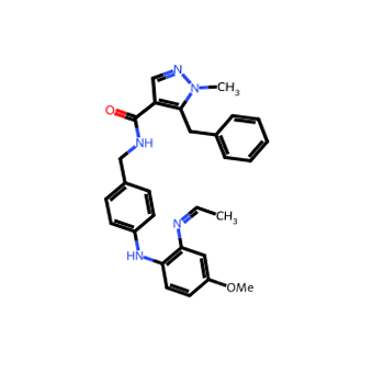 C/C=N\c1cc(OC)ccc1Nc1ccc(CNC(=O)c2cnn(C)c2Cc2ccccc2)cc1